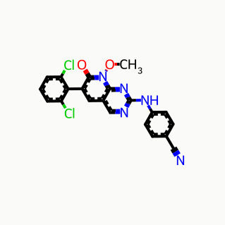 COn1c(=O)c(-c2c(Cl)cccc2Cl)cc2cnc(Nc3ccc(C#N)cc3)nc21